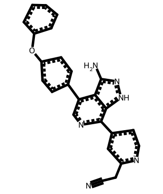 N#CCc1cc(-c2ncc(-c3ccc(Oc4ccccc4)cc3)c3c(N)n[nH]c23)ccn1